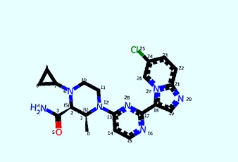 C[C@H]1[C@@H](C(N)=O)N(C2CC2)CCN1c1ccnc(-c2cnc3ccc(Cl)cn23)n1